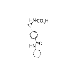 O=C(O)N[C@@H]1C[C@H]1c1ccc(C(=O)NC2CCCCC2)cc1